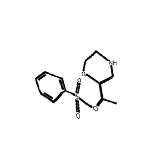 CC(OS(=O)(=O)c1ccccc1)C1CNCCO1